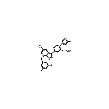 COc1cc(-c2nnc3n([C@H](C)c4cc(C)cc(F)c4)cc(Cl)cc2-3)ccc1-n1cnc(C)c1